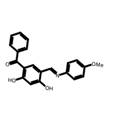 COc1ccc(/N=C/c2cc(C(=O)c3ccccc3)c(O)cc2O)cc1